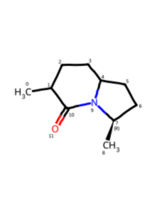 CC1CCC2CC[C@@H](C)N2C1=O